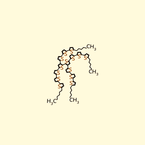 CCCCCCc1ccc(-c2ccc(-c3ccc(-c4cc(-c5ccc(-c6ccc(-c7ccc(CCCCCC)s7)s6)s5)c(-c5sc(-c6ccc(-c7ccc(-c8ccc(CCCCCC)s8)s7)s6)cc5-c5ccc(-c6ccc(-c7ccc(CCCCCC)s7)s6)s5)s4)s3)s2)s1